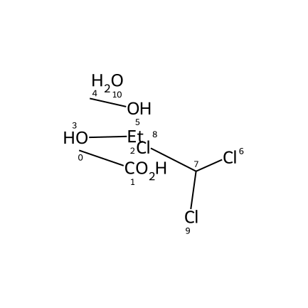 CC(=O)O.CCO.CO.ClC(Cl)Cl.O